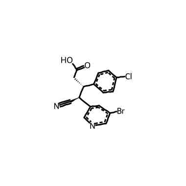 N#C[C@H](c1cncc(Br)c1)[C@H](CC(=O)O)c1ccc(Cl)cc1